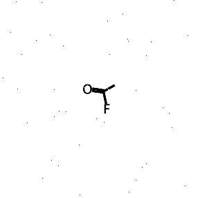 CC(=O)F